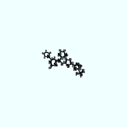 Cc1nc(N2CCCC2)cc(N(Cc2ccc(-c3noc(C(F)(F)F)n3)s2)c2cnccn2)n1